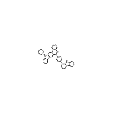 c1ccc(-n2c3ccccc3c3cc4c(-c5ccc(-c6cccc7c6sc6ccccc67)cc5)nc5ccccc5c4cc32)cc1